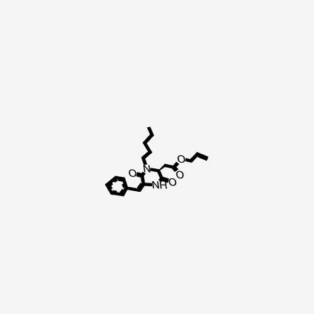 C=CCOC(=O)C[C@H]1C(=O)NC(=Cc2ccccc2)C(=O)N1CCCCC